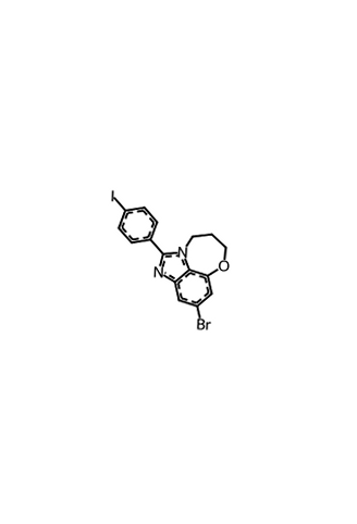 Brc1cc2c3c(c1)nc(-c1ccc(I)cc1)n3CCCO2